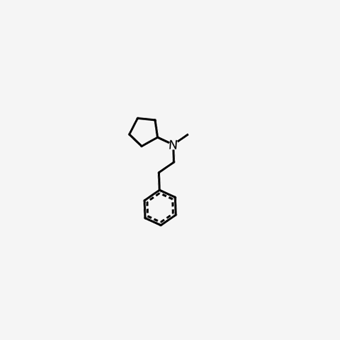 CN(CCc1ccccc1)C1CCCC1